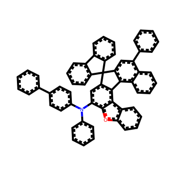 c1ccc(-c2ccc(N(c3ccccc3)c3cc4c(c5c3oc3ccccc35)-c3c(cc(-c5ccccc5)c5ccccc35)C43c4ccccc4-c4ccccc43)cc2)cc1